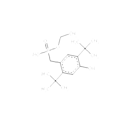 CCOP(=O)(O)Cc1cc(C(C)(C)C)c(O)cc1C(C)(C)C